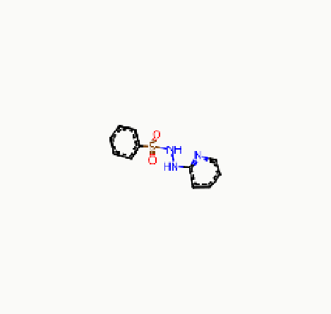 O=S(=O)(NNc1ccccn1)c1ccccc1